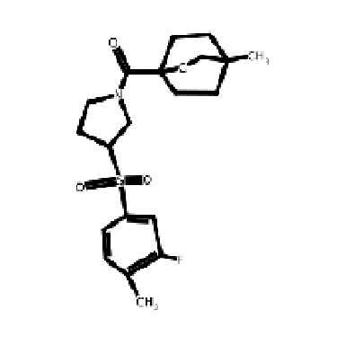 Cc1ccc(S(=O)(=O)C2CCN(C(=O)C34CCC(C)(CC3)CC4)C2)cc1F